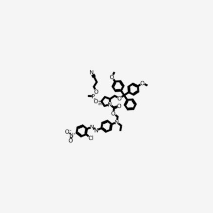 CCN(COC(=O)N1C[C@H](OP(C)OCCC#N)CC1COC(c1ccccc1)(c1ccc(OC)cc1)c1ccc(OC)cc1)c1ccc(N=Nc2ccc([N+](=O)[O-])cc2Cl)cc1